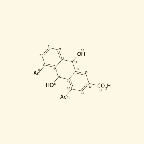 CC(=O)c1cccc2c1C(O)c1c(C(C)=O)cc(C(=O)O)cc1C2O